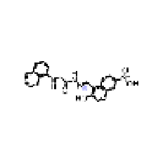 O=C(CNc1cccc2ccccc12)N/N=C/c1c(O)ccc2cc([N+](=O)O)ccc12